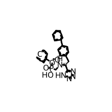 COc1cc(-c2ccccc2)ccc1C[C@H](NCP(=O)(O)Oc1ccccc1)c1nnn[nH]1